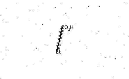 CCC=CCCCCCCC=CC=CCC(=O)O